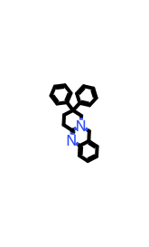 c1ccc(C2(c3ccccc3)CCC3=Nc4ccccc4CN3C2)cc1